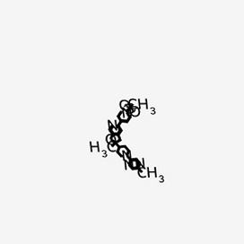 Cc1cnc(N2CCC(C3(C)Cc4cc(C5=CCN(S(C)(=O)=O)CC5)ncc4O3)CC2)cn1